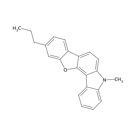 CCCc1ccc2c(c1)oc1c2ccc2c1c1ccccc1n2C